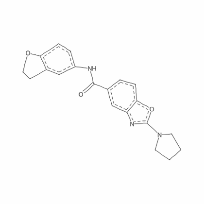 O=C(Nc1ccc2c(c1)CCO2)c1ccc2oc(N3CCCC3)nc2c1